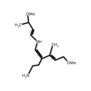 COC/C=C(C)/C(=C\N/C=C/C(C)OC)CCN